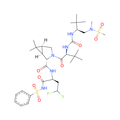 CN(C[C@@H](NC(=O)N[C@H](C(=O)N1C[C@H]2[C@@H]([C@H]1C(=O)N[C@@H](CC(F)F)C(=O)NS(=O)(=O)c1ccccc1)C2(C)C)C(C)(C)C)C(C)(C)C)S(C)(=O)=O